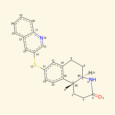 C[C@]12CCC(=O)N[C@@H]1CCc1cc(Sc3cnc4ccccc4c3)ccc12